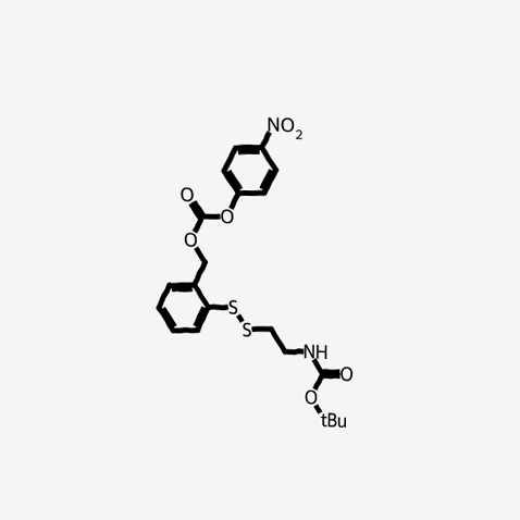 CC(C)(C)OC(=O)NCCSSc1ccccc1COC(=O)Oc1ccc([N+](=O)[O-])cc1